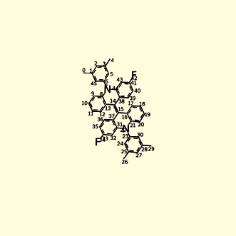 Cc1cc(C)cc(N2c3ccccc3/C(=C3/c4ccccc4N(c4cc(C)cc(C)c4)c4cc(F)ccc43)c3ccc(F)cc32)c1